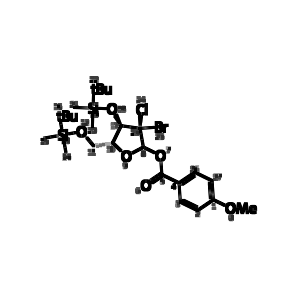 COc1ccc(C(=O)OC2O[C@H](CO[Si](C)(C)C(C)(C)C)[C@@H](O[Si](C)(C)C(C)(C)C)[C@]2(Cl)Br)cc1